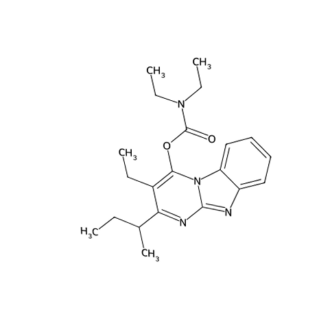 CCc1c(C(C)CC)nc2nc3ccccc3n2c1OC(=O)N(CC)CC